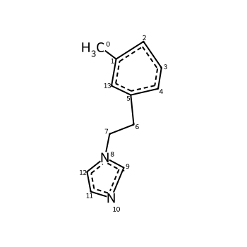 Cc1cccc(CCn2[c]ncc2)c1